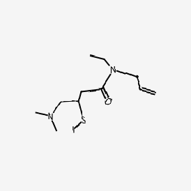 C=CCN(CC)C(=O)CC(CN(C)C)SI